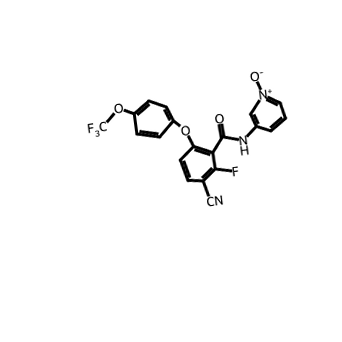 N#Cc1ccc(Oc2ccc(OC(F)(F)F)cc2)c(C(=O)Nc2ccc[n+]([O-])c2)c1F